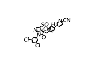 CC1(Cc2ccc(-c3ccc(C#N)nc3)cc2)C(=O)N(c2cc(Cl)cc(Cl)c2)c2ncc(S(=O)(=O)O)n21